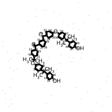 CC(C)(Oc1ccc(C(C)(C)c2ccc(O)cc2)cc1)c1ccc(C(=O)c2cccc(C(=O)c3ccc(Oc4ccc(C(C)(C)c5ccc(O)cc5)cc4)cc3)c2)cc1